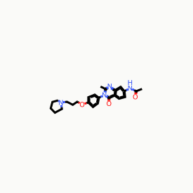 CC(=O)Nc1ccc2c(=O)n(-c3ccc(OCCCN4CCCCC4)cc3)c(C)nc2c1